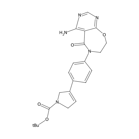 CC(C)(C)OC(=O)N1CC=C(c2ccc(N3CCOc4ncnc(N)c4C3=O)cc2)C1